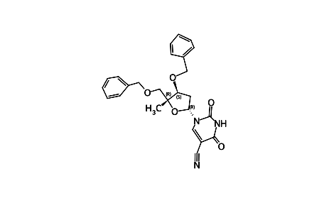 C[C@]1(COCc2ccccc2)O[C@@H](n2cc(C#N)c(=O)[nH]c2=O)C[C@@H]1OCc1ccccc1